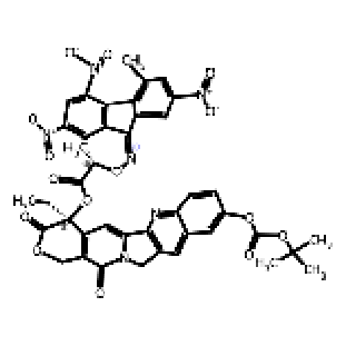 CC[C@@]1(OC(=O)[C@H](C)O/N=C2/c3cc([N+](=O)[O-])cc(C)c3-c3c2cc([N+](=O)[O-])cc3[N+](=O)[O-])C(=O)OCc2c1cc1n(c2=O)Cc2cc3cc(OC(=O)OC(C)(C)C)ccc3nc2-1